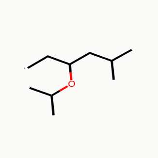 [CH2]CC(CC(C)C)OC(C)C